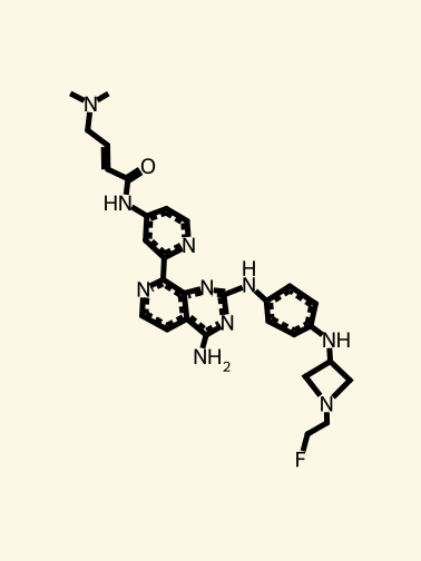 CN(C)C/C=C/C(=O)Nc1ccnc(-c2nccc3c(N)nc(Nc4ccc(NC5CN(CCF)C5)cc4)nc23)c1